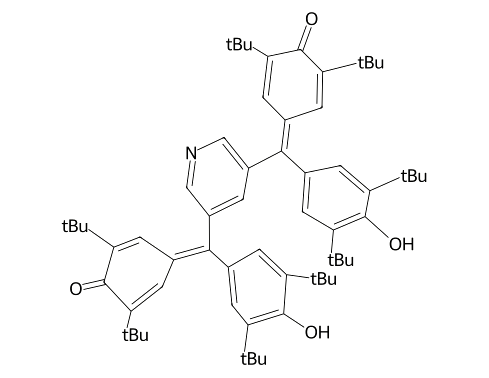 CC(C)(C)C1=CC(=C(c2cncc(C(=C3C=C(C(C)(C)C)C(=O)C(C(C)(C)C)=C3)c3cc(C(C)(C)C)c(O)c(C(C)(C)C)c3)c2)c2cc(C(C)(C)C)c(O)c(C(C)(C)C)c2)C=C(C(C)(C)C)C1=O